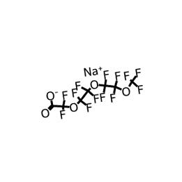 O=C([O-])C(F)(F)OC(F)(F)C(F)(F)OC(F)(F)C(F)(F)OC(F)(F)F.[Na+]